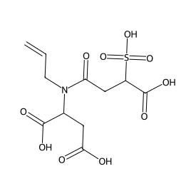 C=CCN(C(=O)CC(C(=O)O)S(=O)(=O)O)C(CC(=O)O)C(=O)O